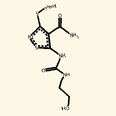 CCCCCSc1nsc(NC(=O)NCCO)c1C(N)=O